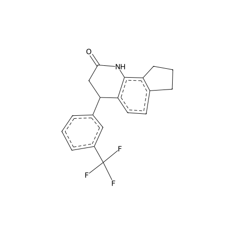 O=C1CC(c2cccc(C(F)(F)F)c2)c2ccc3c(c2N1)CCC3